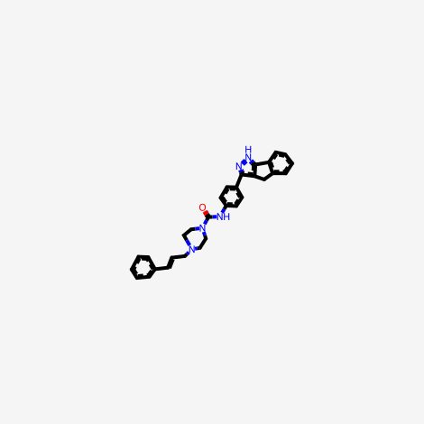 O=C(Nc1ccc(-c2n[nH]c3c2Cc2ccccc2-3)cc1)N1CCN(CC=Cc2ccccc2)CC1